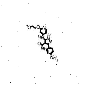 COCCOc1cc(Nc2[nH]nc(-c3ccc(N)cc3)c2C(N)=O)ccn1